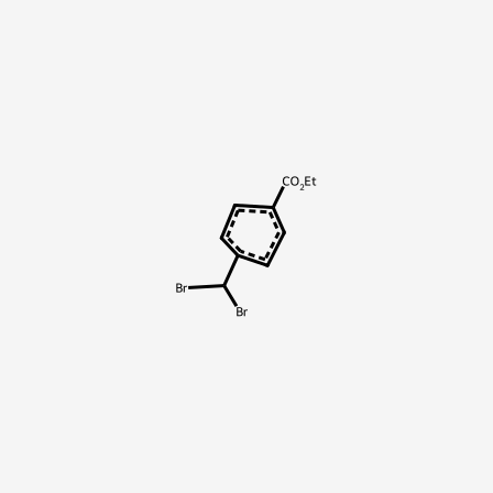 CCOC(=O)c1ccc(C(Br)Br)cc1